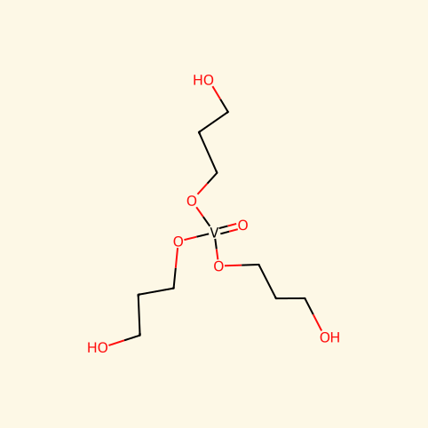 [O]=[V]([O]CCCO)([O]CCCO)[O]CCCO